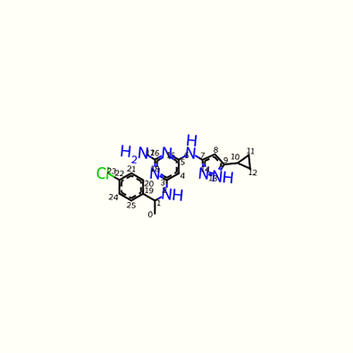 CC(Nc1cc(Nc2cc(C3CC3)[nH]n2)nc(N)n1)c1ccc(Cl)cc1